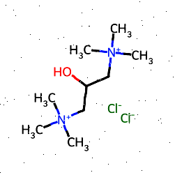 C[N+](C)(C)CC(O)C[N+](C)(C)C.[Cl-].[Cl-]